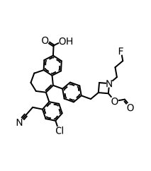 N#CCc1cc(Cl)ccc1C1=C(c2ccc(CC3CN(CCCF)C3OC=O)cc2)c2ccc(C(=O)O)cc2CCC1